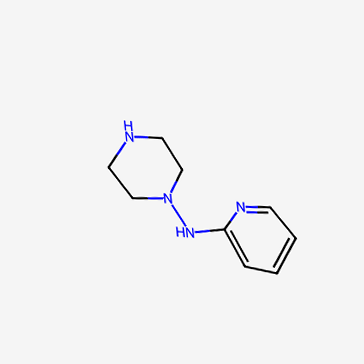 c1ccc(NN2CCNCC2)nc1